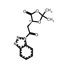 CC1(C)OC(=O)[C@H](CC(=O)n2nnc3ccccc32)O1